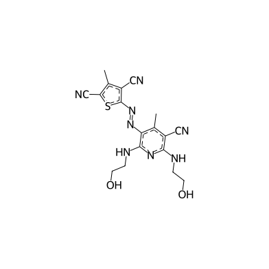 Cc1c(C#N)sc(/N=N/c2c(NCCO)nc(NCCO)c(C#N)c2C)c1C#N